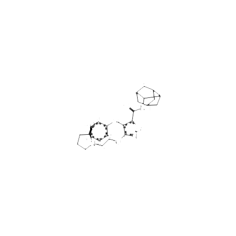 O=C(NC1C2CC3CC(C2)C1C3)c1onc(OCCN2CCCC2=O)c1Sc1ccccc1